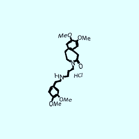 COc1ccc(CCNCCCN2CCc3cc(OC)c(OC)cc3CC2=O)cc1OC.Cl